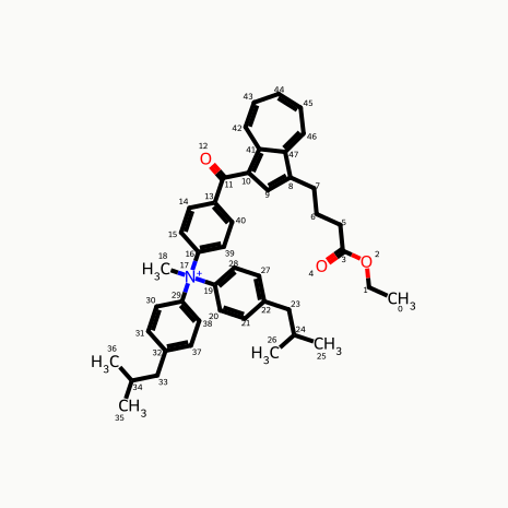 CCOC(=O)CCCc1cc(C(=O)c2ccc([N+](C)(c3ccc(CC(C)C)cc3)c3ccc(CC(C)C)cc3)cc2)c2cccccc1-2